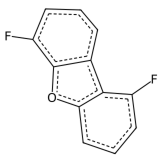 Fc1cccc2c1oc1cccc(F)c12